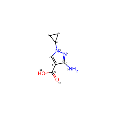 Nc1nn(C2CC2)cc1C(=O)O